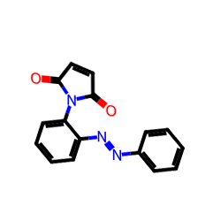 O=C1C=CC(=O)N1c1ccccc1N=Nc1ccccc1